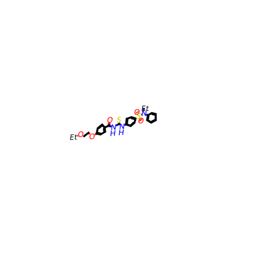 CCOCCOc1ccc(C(=O)NC(=S)Nc2ccc(S(=O)(=O)N(CC)c3ccccc3)cc2)cc1